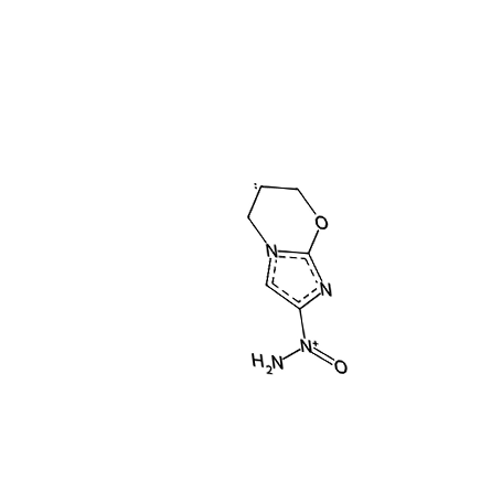 N[N+](=O)c1cn2c(n1)OC[C]C2